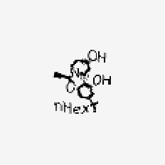 C#CC(=O)N1CC[C@H](O)C[C@@H]1c1ccc(C(C)(C)CCCCCC)cc1O